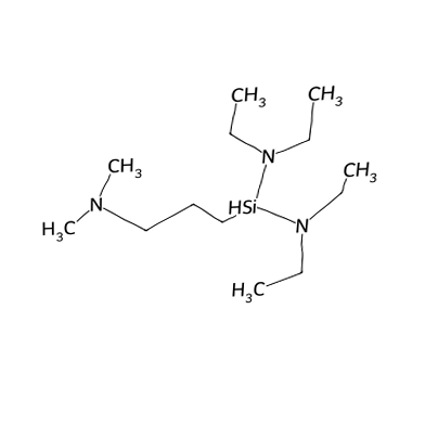 CCN(CC)[SiH](CCCN(C)C)N(CC)CC